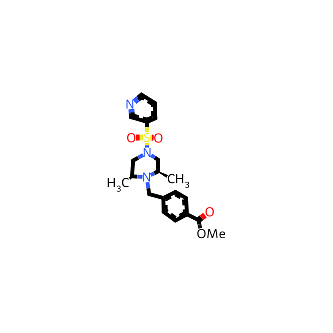 COC(=O)c1ccc(CN2[C@H](C)CN(S(=O)(=O)c3cccnc3)C[C@@H]2C)cc1